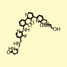 COc1nc(-c2ccnc(-c3cccc(Nc4nccc(CNC[C@@H]5CCC(=O)N5)c4F)c3Cl)c2Cl)ccc1CNCCO